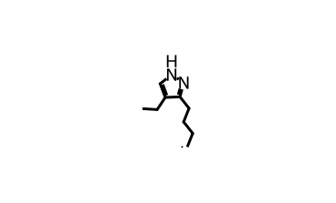 [CH2]CCCc1n[nH]cc1CC